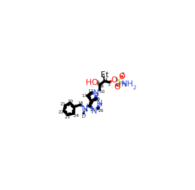 CC[C@@H](COS(N)(=O)=O)[C@@H](O)Cn1ccc2c(N(C)Cc3ccccc3)ncnc21